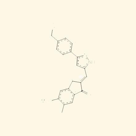 COc1cc2c(cc1C)C(=O)/C(=C/c1cc(-c3ccc(CO)cc3)n[nH]1)C2